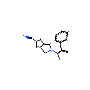 C=C(c1ccccc1)C(C)N1CC2CC(C#N)CC2C1